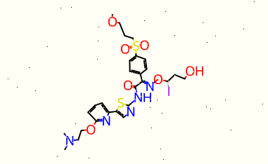 COCCCS(=O)(=O)c1ccc(/C(=N\O[C@@H](I)CCO)C(=O)Nc2ncc(-c3cccc(OCCN(C)C)n3)s2)cc1